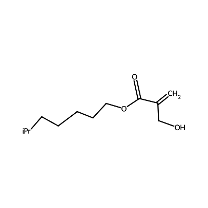 C=C(CO)C(=O)OCCCCCC(C)C